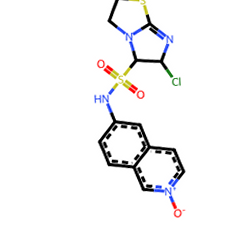 O=S(=O)(Nc1ccc2c[n+]([O-])ccc2c1)C1C(Cl)N=C2SCCN21